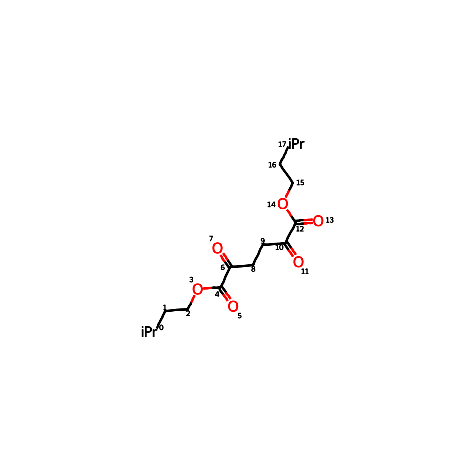 CC(C)CCOC(=O)C(=O)CCC(=O)C(=O)OCCC(C)C